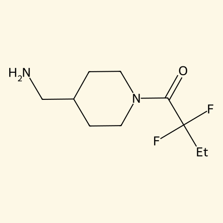 CCC(F)(F)C(=O)N1CCC(CN)CC1